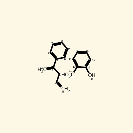 C=CCC(=C)c1ccccc1.O=C(O)c1ccccc1O